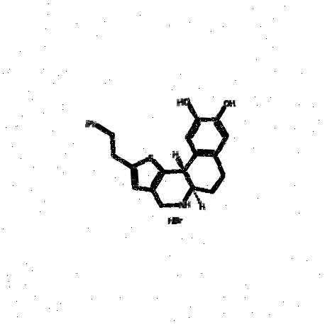 Br.CC(C)CCc1cc2c(s1)[C@@H]1c3cc(O)c(O)cc3CC[C@H]1NC2